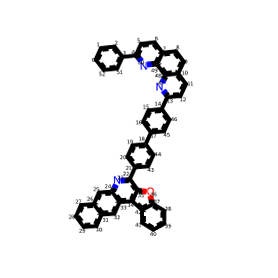 c1ccc(-c2ccc3ccc4ccc(-c5ccc(-c6ccc(-c7nc8cc9ccccc9cc8c8c7oc7ccccc78)cc6)cc5)nc4c3n2)cc1